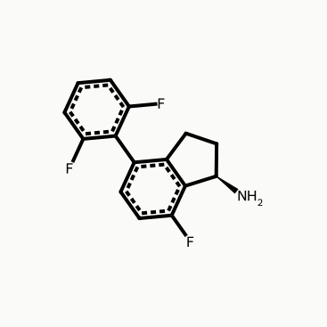 N[C@@H]1CCc2c(-c3c(F)cccc3F)ccc(F)c21